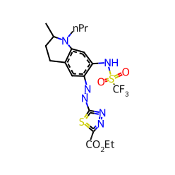 CCCN1c2cc(NS(=O)(=O)C(F)(F)F)c(N=Nc3nnc(C(=O)OCC)s3)cc2CCC1C